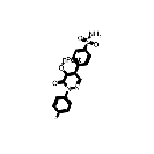 CCCCCOc1c(-c2ccc(S(N)(=O)=O)cc2)cnn(-c2ccc(F)cc2)c1=O